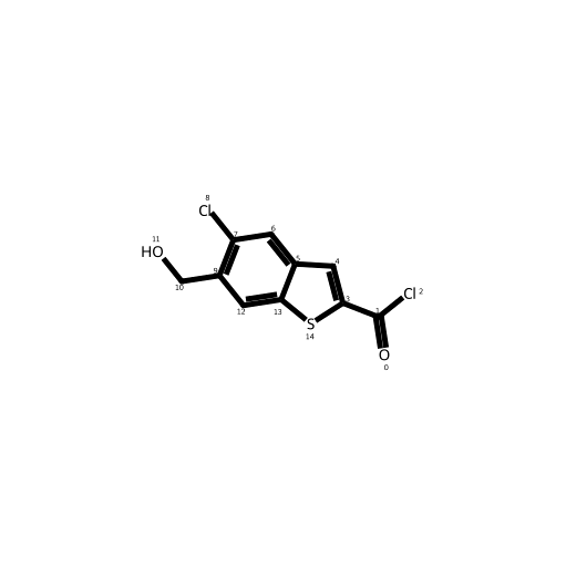 O=C(Cl)c1cc2cc(Cl)c(CO)cc2s1